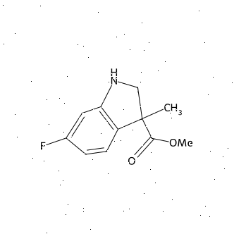 COC(=O)C1(C)CNc2cc(F)ccc21